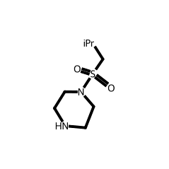 CC(C)CS(=O)(=O)N1CCNCC1